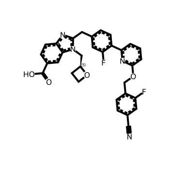 N#Cc1ccc(COc2cccc(-c3ccc(Cc4nc5ccc(C(=O)O)cc5n4C[C@@H]4CCO4)cc3F)n2)c(F)c1